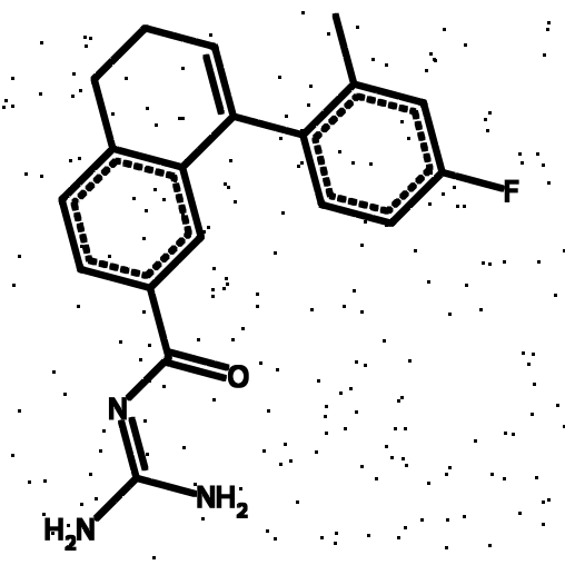 Cc1cc(F)ccc1C1=CCCc2ccc(C(=O)N=C(N)N)cc21